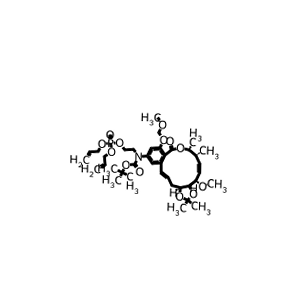 C=CCOP(=O)(OCC=C)OCCN(C(=O)OC(C)(C)C)c1cc2c(c(OCOC)c1)C(=O)O[C@@H](C)[C@H](C)/C=C\[C@@H](OC)[C@H]1OC(C)(C)O[C@H]1C/C=C/2